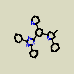 Cc1cc(-c2ccccc2)nc(-c2cc(-c3ccccn3)cc(-c3nc(-c4ccccc4)nc(-c4ccccc4)n3)c2)c1